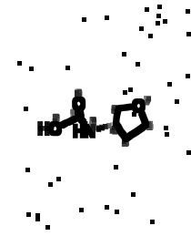 O=C(O)N[C@H]1CCOC1